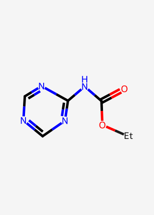 CCOC(=O)Nc1ncncn1